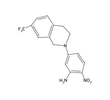 Nc1cc(N2CCc3ccc(C(F)(F)F)cc3C2)ccc1[N+](=O)[O-]